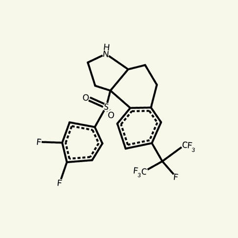 O=S(=O)(c1ccc(F)c(F)c1)C12CCNC1CCc1cc(C(F)(C(F)(F)F)C(F)(F)F)ccc12